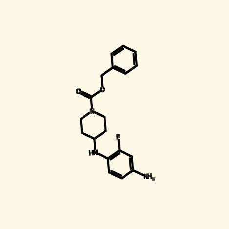 Nc1ccc(NC2CCN(C(=O)OCc3ccccc3)CC2)c(F)c1